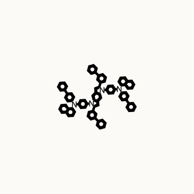 c1ccc(-c2ccc(N(c3ccc(-n4c(-c5cccc(-c6ccccc6)c5)cc5cc6c(cc(-c7cccc(-c8ccccc8)c7)n6-c6ccc(N(c7ccc(-c8ccccc8)cc7)c7cccc8ccccc78)cc6)cc54)cc3)c3cccc4ccccc34)cc2)cc1